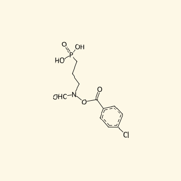 O=CN(CCCP(=O)(O)O)OC(=O)c1ccc(Cl)cc1